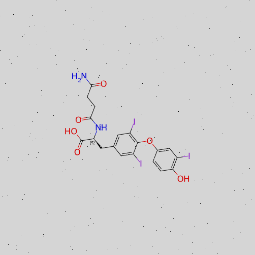 NC(=O)CCC(=O)N[C@@H](Cc1cc(I)c(Oc2ccc(O)c(I)c2)c(I)c1)C(=O)O